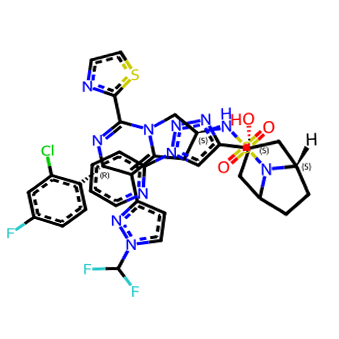 O=S(=O)(N[C@H]1CC2=C(c3ccn(C(F)F)n3)[C@H](c3ccc(F)cc3Cl)N=C(c3nccs3)N2C1)N1C2CC[C@H]1C[C@](O)(c1cn(-c3ccccn3)nn1)C2